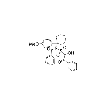 COc1ccc(C2(N(C(=O)c3ccccc3)S(=O)(=O)C(O)C(=O)c3ccccc3)CCCCC2)cc1